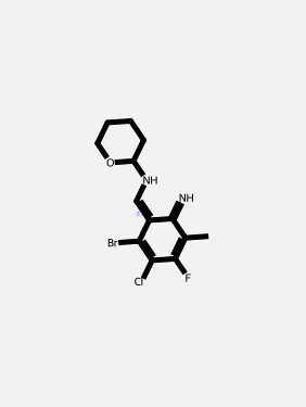 CC1=C(F)C(Cl)=C(Br)/C(=C/NC2CCCCO2)C1=N